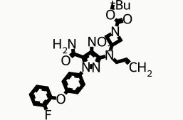 C=CCN(c1nn(-c2ccc(Oc3ccccc3F)cc2)c(C(N)=O)c1[N+](=O)[O-])C1CN(C(=O)OC(C)(C)C)C1